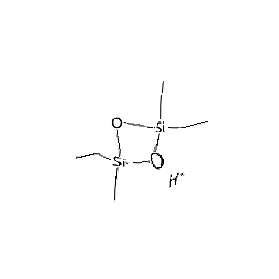 C[Si]1(C)O[Si](C)(C)O1.[H+]